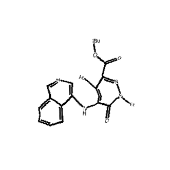 CCC(C)OC(=O)c1nn(CC)c(=O)c(Nc2cncc3ccccc23)c1C(C)=O